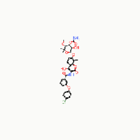 CO[C@@H]1[C@@H](OC(N)=O)[C@@H](O)[C@H](Oc2ccc3c(O)c(NC(=O)c4cccc(Oc5ccc(Cl)cc5)c4)c(=O)oc3c2C)OC1(C)C